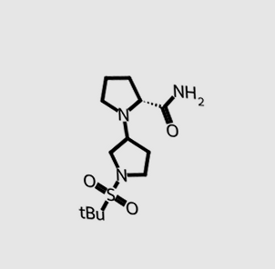 CC(C)(C)S(=O)(=O)N1CCC(N2CCC[C@@H]2C(N)=O)C1